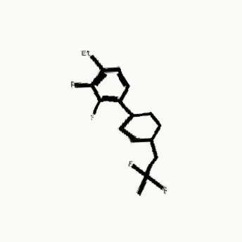 CCc1ccc(C2CCC(CC(C)(F)F)CC2)c(F)c1F